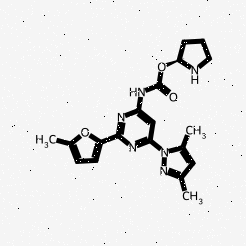 Cc1cc(C)n(-c2cc(NC(=O)O[C@H]3CCCN3)nc(-c3ccc(C)o3)n2)n1